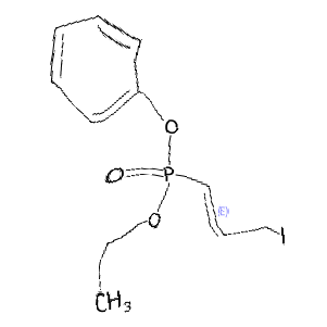 CCOP(=O)(/C=C/I)Oc1ccccc1